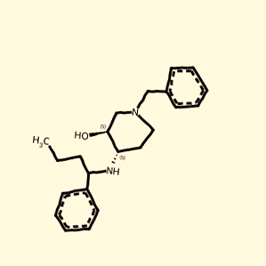 CCCC(N[C@H]1CCN(Cc2ccccc2)C[C@@H]1O)c1ccccc1